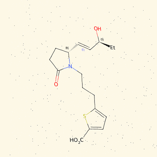 CC[C@H](O)/C=C/[C@H]1CCC(=O)N1CCCc1ccc(C(=O)O)s1